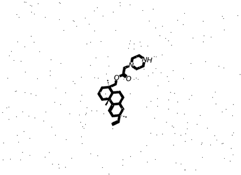 C=C[C@@]1(C)CC=C2C(CCC3[C@](C)(COC(=O)CN4CCNCC4)CCC[C@@]23C)C1